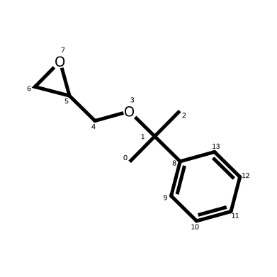 CC(C)(OCC1CO1)c1ccccc1